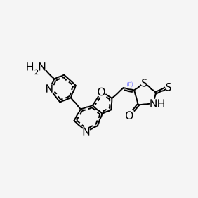 Nc1ccc(-c2cncc3cc(/C=C4/SC(=S)NC4=O)oc23)cn1